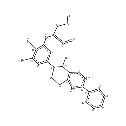 CCCC(Oc1cc(N2CCc3nc(-c4ncccn4)ncc3C2C)cc(F)c1F)=S=O